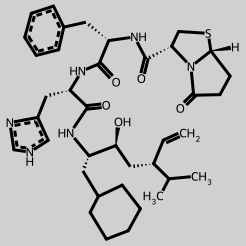 C=C[C@@H](C[C@H](O)[C@H](CC1CCCCC1)NC(=O)[C@H](Cc1c[nH]cn1)NC(=O)[C@H](Cc1ccccc1)NC(=O)[C@@H]1CS[C@@H]2CCC(=O)N21)C(C)C